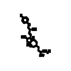 CCCC(CC[C@@H]1CC[C@@H]2[C@@H](/C=C/[C@@H](O)COc3ccc(F)cc3)[C@H](O)C[C@@H]2OC1)C(=O)O